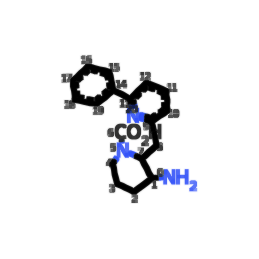 NC1CCCN(C(=O)O)C1Cc1cccc(-c2ccccc2)n1